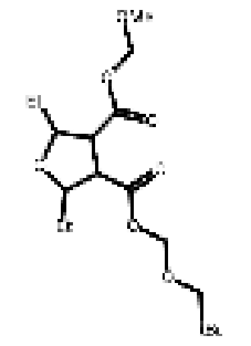 CCC1OC(CC)C(C(=O)OCOCC(C)(C)C)C1C(=O)OCOC